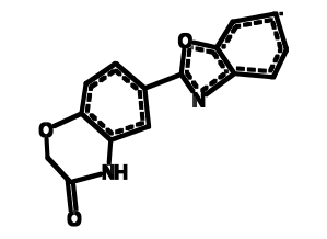 O=C1COc2ccc(-c3nc4cc[c]cc4o3)cc2N1